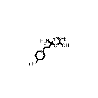 CCCCCC(N)(CCN1CCC(CCC)CC1)OC(O)O